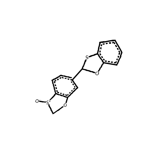 [O-][S+]1COc2cc(C3Oc4ccccc4S3)ccc21